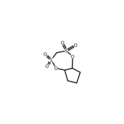 O=S1(=O)CS(=O)(=O)OC2CCCC2O1